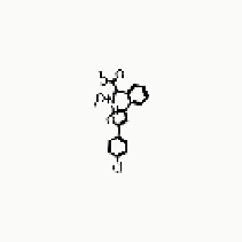 CON=C(C(=O)OC)c1ccccc1-c1cc(-c2ccc(Cl)cc2)on1